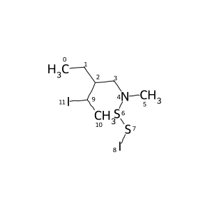 CCC(CN(C)SSI)C(C)I